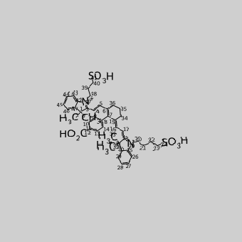 CC1(C)C(/C=C/C2=C(c3ccc(C(=O)O)cc3)C(=C/C=C3/N(CCCCS(=O)(=O)O)c4ccccc4C3(C)C)/CCC2)=[N+](CCCS(=O)(=O)O)c2ccccc21